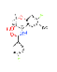 CC(=O)c1cc2c(cc1F)OC(C)(C)[C@H](O)[C@H]2NC(=O)c1ccc(F)cc1